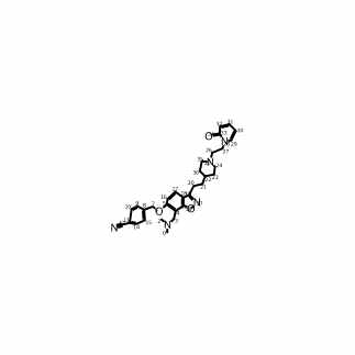 CN(C)Cc1c(OCc2ccc(C#N)cc2)ccc2c(CCC3CCN(CCn4ccccc4=O)CC3)noc12